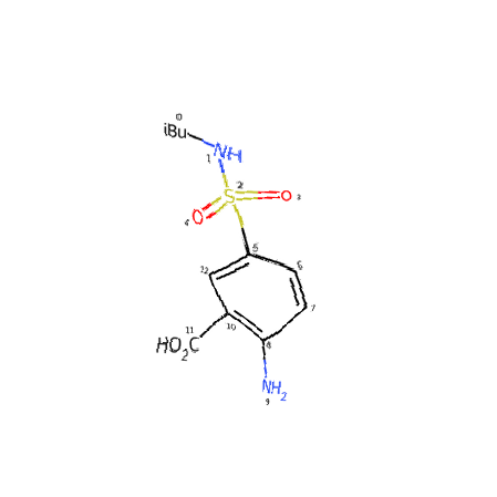 CCC(C)NS(=O)(=O)c1ccc(N)c(C(=O)O)c1